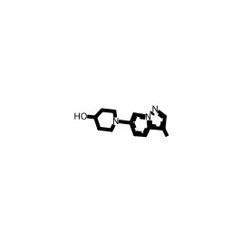 Cc1cnn2cc(N3CCC(O)CC3)ccc12